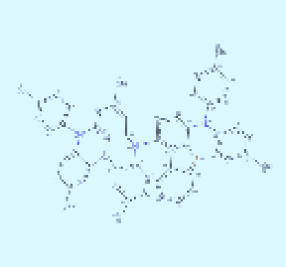 CC(C)(C)c1ccc(N2c3ccc(C(C)(C)C)cc3B3c4cc(C(C)(C)C)ccc4N(c4ccc(N(c5ccc(C(C)(C)C)cc5)c5ccc(C(C)(C)C)cc5)c5sc6ccccc6c45)c4cc(C(C)(C)C)cc2c43)cc1